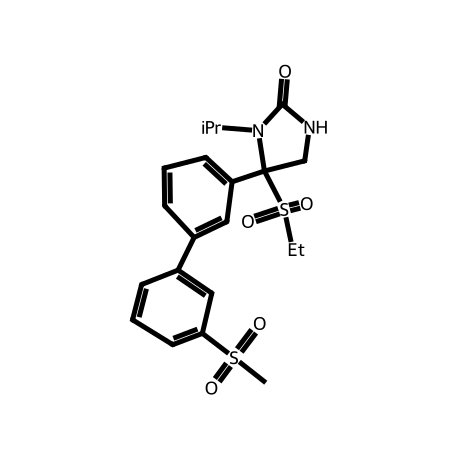 CCS(=O)(=O)C1(c2cccc(-c3cccc(S(C)(=O)=O)c3)c2)CNC(=O)N1C(C)C